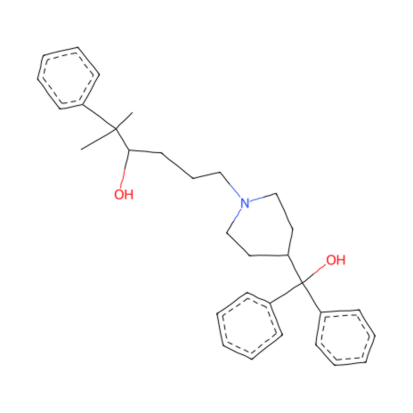 CC(C)(c1ccccc1)C(O)CCCN1CCC(C(O)(c2ccccc2)c2ccccc2)CC1